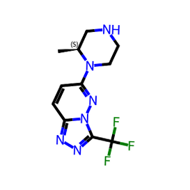 C[C@H]1CNCCN1c1ccc2nnc(C(F)(F)F)n2n1